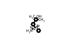 Cc1cc(-c2ccc3nc(N)nc(N(Br)c4ccccc4)c3c2)cc(C)c1O